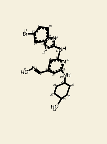 ON=Cc1cc(Nc2nc3ccc(Br)cc3s2)nc(NC2CCC(O)CC2)c1